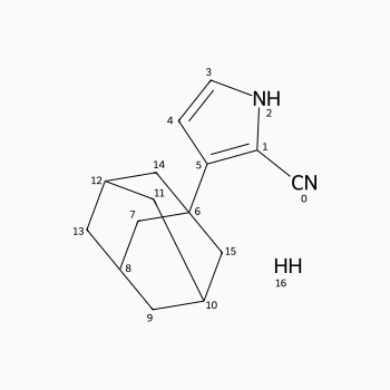 N#Cc1[nH]ccc1C12CC3CC(CC(C3)C1)C2.[HH]